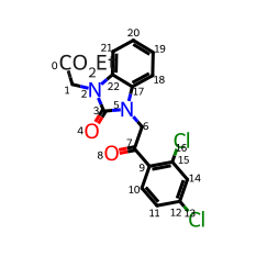 CCOC(=O)Cn1c(=O)n(CC(=O)c2ccc(Cl)cc2Cl)c2ccccc21